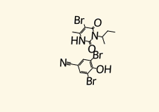 CCC(C)n1c(=O)[nH]c(C)c(Br)c1=O.N#Cc1cc(Br)c(O)c(Br)c1